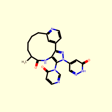 CC1CCCCc2cc(ccn2)-c2nn(-c3cn[nH]c(=O)c3)c(-n3cnccc3=O)c2NC1=O